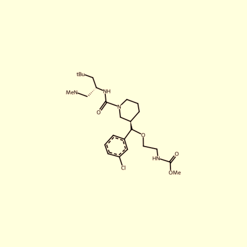 CNC[C@H](CC(C)(C)C)NC(=O)N1CCC[C@@H](C(OCCNC(=O)OC)c2cccc(Cl)c2)C1